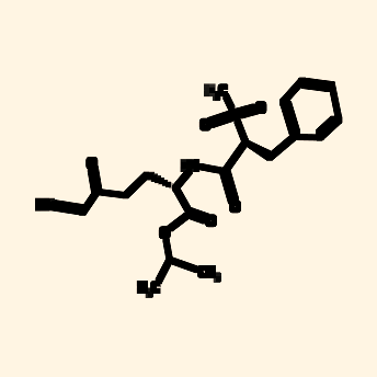 CC(C)OC(=O)[C@H](CCC(=O)C=N)NC(=O)[C@H](Cc1ccccc1)S(C)(=O)=O